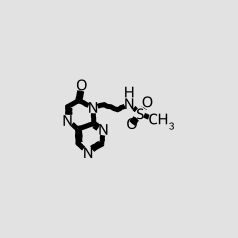 CS(=O)(=O)NCCn1c(=O)cnc2cncnc21